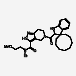 CCN(CCOC)C(=O)c1[nH]nc2c1CN(C(=O)C1Nc3ccccc3C13CCCCCCCC3)CC2